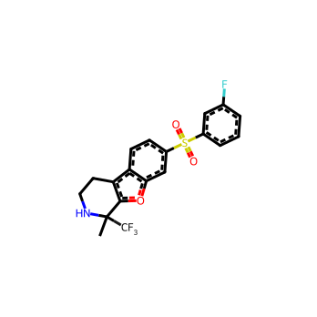 CC1(C(F)(F)F)NCCc2c1oc1cc(S(=O)(=O)c3cccc(F)c3)ccc21